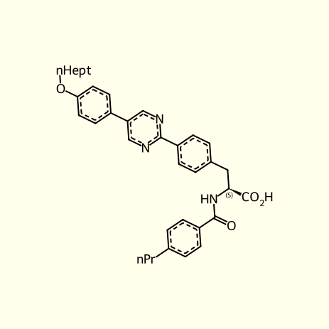 CCCCCCCOc1ccc(-c2cnc(-c3ccc(C[C@H](NC(=O)c4ccc(CCC)cc4)C(=O)O)cc3)nc2)cc1